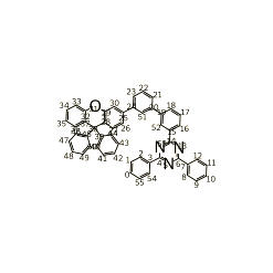 c1ccc(-c2nc(-c3ccccc3)nc(-c3cccc(-c4cccc(-c5ccc6c(c5)Oc5ccccc5C6(c5ccccc5)c5ccccc5)c4)c3)n2)cc1